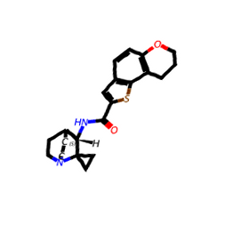 O=C(N[C@H]1C2CCN(CC2)C12CC2)c1cc2ccc3c(c2s1)CCCO3